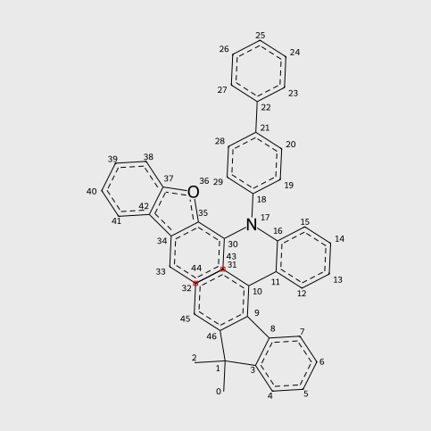 CC1(C)c2ccccc2-c2c(-c3ccccc3N(c3ccc(-c4ccccc4)cc3)c3cccc4c3oc3ccccc34)cccc21